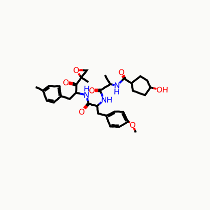 COc1ccc(CC(NC(=O)C(C)NC(=O)C2CCC(O)CC2)C(=O)NC(Cc2ccc(C)cc2)C(=O)C2(C)CO2)cc1